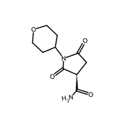 NC(=O)[C@@H]1CC(=O)N(C2CCOCC2)C1=O